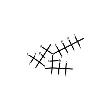 CC(F)(F)C(F)(F)C(F)(F)C(F)(F)N(C(C)(F)C(F)(F)C(C)(F)C(F)(F)F)C(F)(F)C(C)(F)C(F)(F)C(F)(F)F